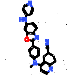 CN(c1ccc(-c2nc3ccc(Nc4ccncc4)cc3o2)cc1)c1ccnc2c1CC(C#N)CC2